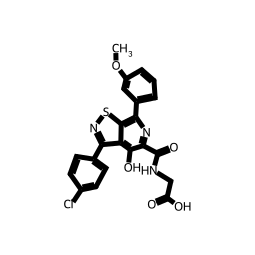 COc1cccc(-c2nc(C(=O)NCC(=O)O)c(O)c3c(-c4ccc(Cl)cc4)nsc23)c1